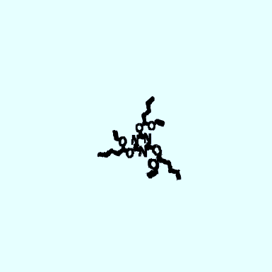 C=COC(CCCC)Oc1nc(OC(CCCC)OC=C)nc(OC(CCCC)OC=C)n1